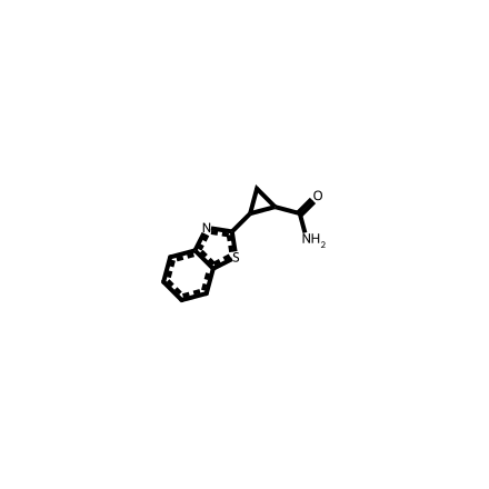 NC(=O)C1CC1c1nc2ccccc2s1